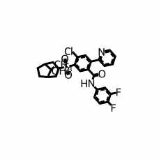 CC1(O)C2CCC1CC(S(=O)(=O)c1cc(C(=O)Nc3ccc(F)c(F)c3)c(-c3ccccn3)cc1Cl)C2